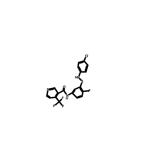 O=C(Nc1ccc(F)c(SNc2ccc(Cl)cc2)c1)c1cnccc1C(F)(F)F